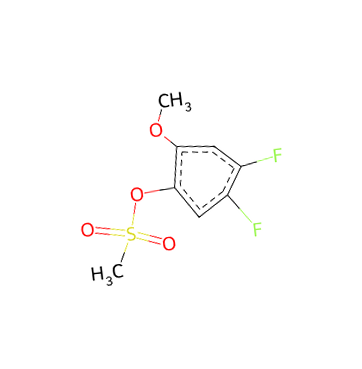 COc1cc(F)c(F)cc1OS(C)(=O)=O